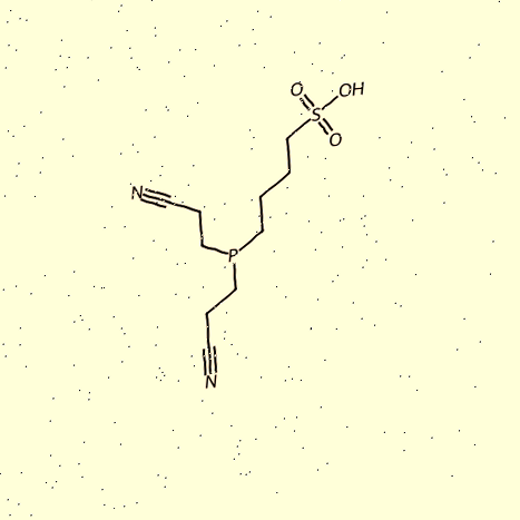 N#CCCP(CCC#N)CCCCS(=O)(=O)O